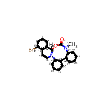 CN1C(=O)O[C@H]2c3cccc(Br)c3C=CN2c2ccccc2-c2ccccc21